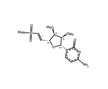 CNS(=O)(=O)/C=C/[C@H]1O[C@@H](n2ccc(N)nc2=O)[C@H](OC)[C@@H]1OC